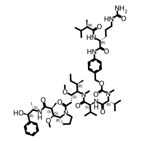 CC[C@@H](C)C([C@H](CC(=O)N1CCC[C@@H]1[C@@H](OC)[C@H](C)C(=O)N[C@@H](C)[C@H](O)c1ccccc1)OC)N(C)C(=O)[C@@H](NC(=O)[C@@H](C(C)C)N(C)C(=O)OCc1ccc(NC(=O)[C@@H](CCCNC(N)=O)NC(=O)[C@H](C)C(C)C)cc1)C(C)C